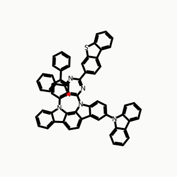 c1ccc(-c2ccc(-n3c4ccccc4c4ccc5c6cc(-n7c8ccccc8c8ccccc87)ccc6n(-c6nc(-c7ccccc7)nc(-c7ccc8c(c7)sc7ccccc78)n6)c5c43)cc2)cc1